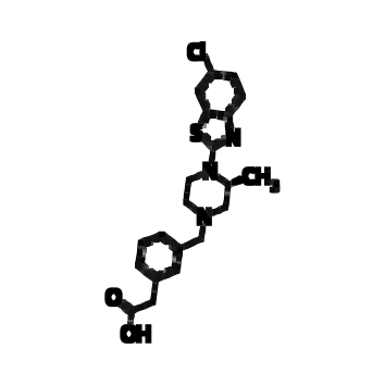 C[C@H]1CN(Cc2cccc(CC(=O)O)c2)CCN1c1nc2ccc(Cl)cc2s1